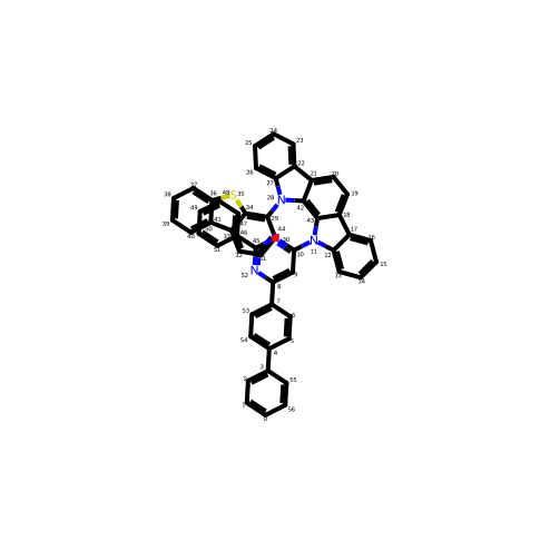 c1ccc(-c2ccc(-c3cc(-n4c5ccccc5c5ccc6c7ccccc7n(-c7cccc8c7sc7ccccc78)c6c54)nc(-c4ccccc4)n3)cc2)cc1